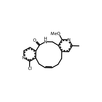 COc1nc(C)cc2c1CNC(=O)c1ccnc(Cl)c1CC=CCC2